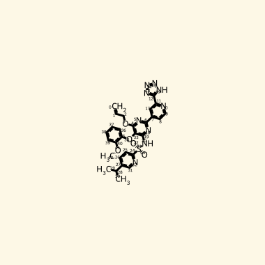 C=CCOc1nc(-c2ccnc(-c3nnn[nH]3)c2)nc(NS(=O)(=O)c2ccc(C(C)C)cn2)c1Oc1ccccc1OC